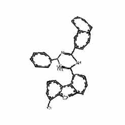 Clc1cccc2c1oc1cccc(C3NC(c4ccc5ccccc5c4)=NC(c4ccccc4)N3)c12